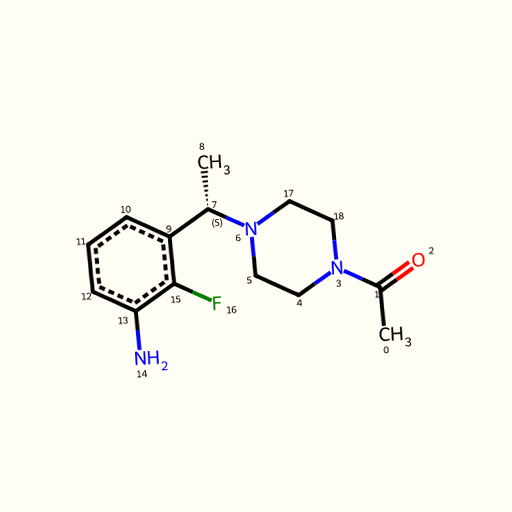 CC(=O)N1CCN([C@@H](C)c2cccc(N)c2F)CC1